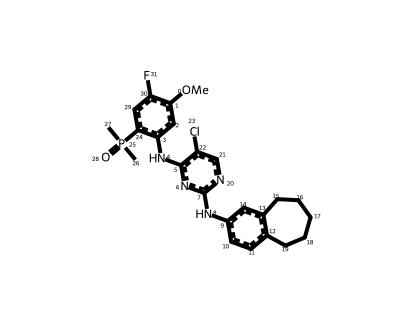 COc1cc(Nc2nc(Nc3ccc4c(c3)CCCCC4)ncc2Cl)c(P(C)(C)=O)cc1F